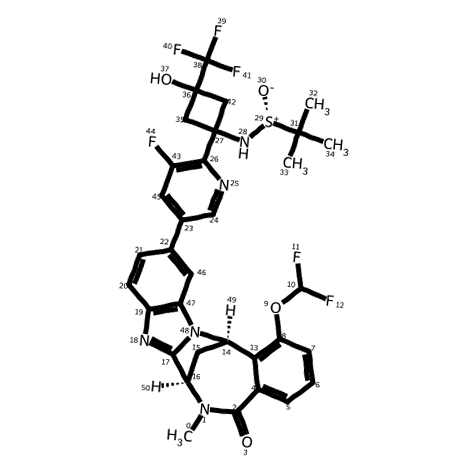 CN1C(=O)c2cccc(OC(F)F)c2[C@H]2C[C@@H]1c1nc3ccc(-c4cnc(C5(N[S@+]([O-])C(C)(C)C)CC(O)(C(F)(F)F)C5)c(F)c4)cc3n12